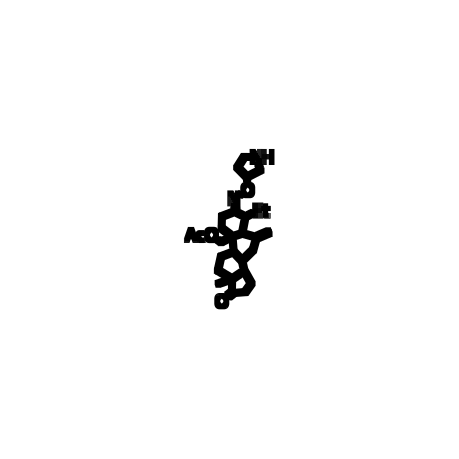 C=C1CC2C3CCC(=O)C3(C)CCC2C2(COC(C)=O)CCC(=NOC3CCNC3)C(CC)C12